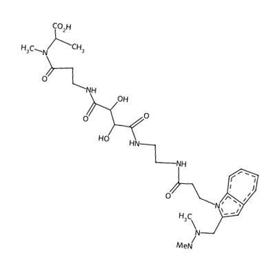 CNN(C)Cc1cc2ccccc2n1CCC(=O)NCCNC(=O)C(O)C(O)C(=O)NCCC(=O)N(C)C(C)C(=O)O